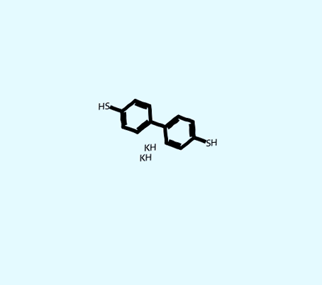 Sc1ccc(-c2ccc(S)cc2)cc1.[KH].[KH]